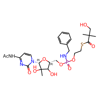 CC(=O)Nc1ccn([C@@H]2O[C@H](COP(=O)(NCc3ccccc3)OCCSC(=O)C(C)(C)CO)C(O)C2(C)O)c(=O)n1